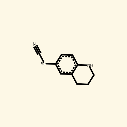 N#C[Se]c1ccc2c(c1)CCCN2